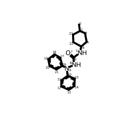 CC1CCC(NC(=O)NN(c2ccccc2)c2ccccc2)CC1